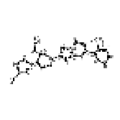 Cc1cn(-c2ccc(-c3nc4nc(-c5ccccc5C(F)(F)F)ccn4n3)cc2CO)cn1